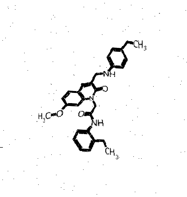 CCc1ccc(NCc2cc3ccc(OC)cc3n(CC(=O)Nc3ccccc3CC)c2=O)cc1